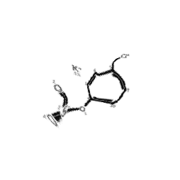 O=[S-](=O)Oc1ccc(Cl)cc1.[K+]